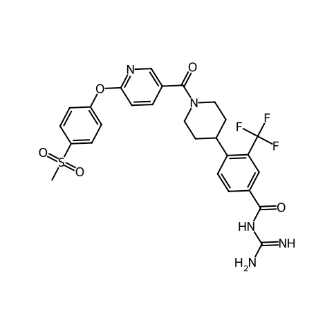 CS(=O)(=O)c1ccc(Oc2ccc(C(=O)N3CCC(c4ccc(C(=O)NC(=N)N)cc4C(F)(F)F)CC3)cn2)cc1